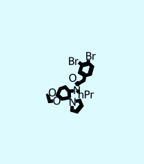 CCCN(C(=O)Cc1ccc(Br)c(Br)c1)C1CCC2(CC1N1CC=CC1)OCCO2